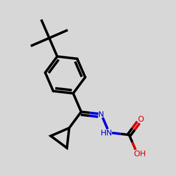 CC(C)(C)c1ccc(C(=NNC(=O)O)C2CC2)cc1